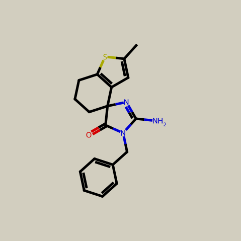 Cc1cc2c(s1)CCCC21N=C(N)N(Cc2ccccc2)C1=O